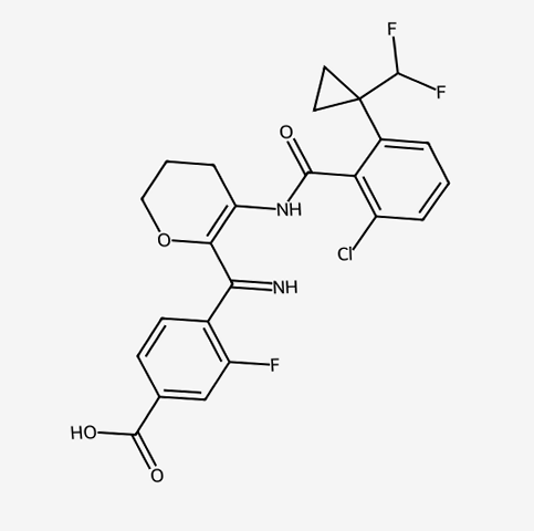 N=C(C1=C(NC(=O)c2c(Cl)cccc2C2(C(F)F)CC2)CCCO1)c1ccc(C(=O)O)cc1F